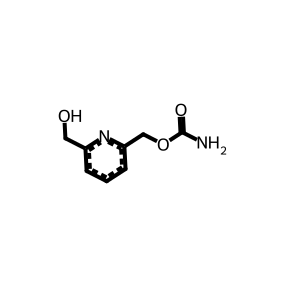 NC(=O)OCc1cccc(CO)n1